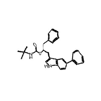 CC(C)(C)NC(=O)O[C@H](Cc1ccccc1)Cc1c[nH]c2ccc(-c3ccccc3)cc12